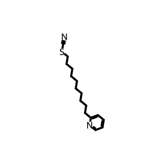 N#CSCCCCCCCCCCc1ccccn1